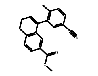 COC(=O)c1ccc2c(c1)C(c1cc(C#N)ccc1C)=CCC2